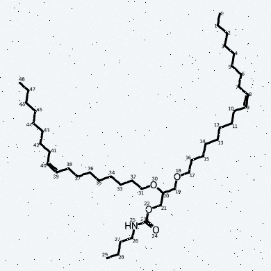 CCCCCCCC/C=C\CCCCCCCCOCC(COC(=O)NCCCC)OCCCCCCCC/C=C\CCCCCCCC